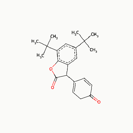 CC(C)(C)c1cc2c(c(C(C)(C)C)c1)OC(=O)C2C1=CCC(=O)C=C1